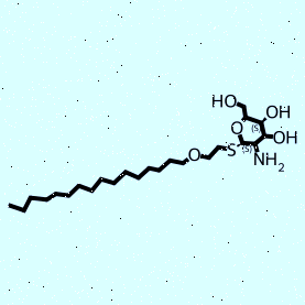 CCCCCCCCCCCCCCCCOCCS[C@@H]1OC(CO)[C@@H](O)C(O)C1N